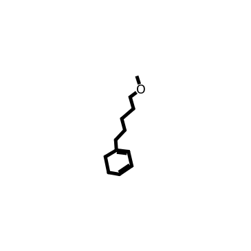 COCCCCCC1=CC=CCC1